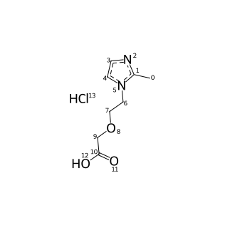 Cc1nccn1CCOCC(=O)O.Cl